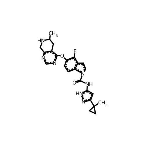 CC1Cc2c(ncnc2Oc2ccc3c(ccn3C(=O)Nc3cc(C4(C)CC4)n[nH]3)c2F)CN1